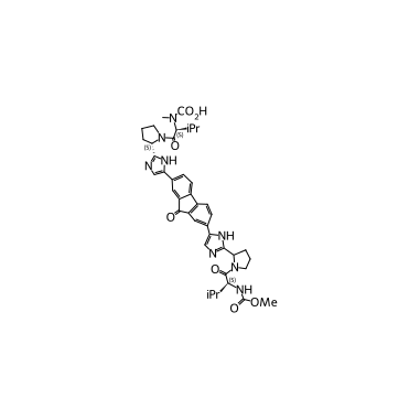 COC(=O)N[C@H](C(=O)N1CCCC1c1ncc(-c2ccc3c(c2)C(=O)c2cc(-c4cnc([C@@H]5CCCN5C(=O)[C@H](C(C)C)N(C)C(=O)O)[nH]4)ccc2-3)[nH]1)C(C)C